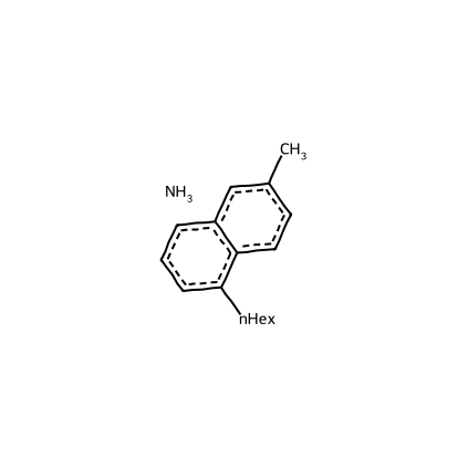 CCCCCCc1cccc2cc(C)ccc12.N